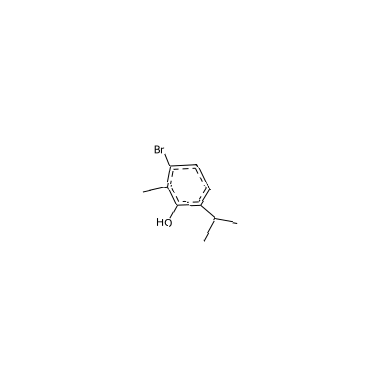 Cc1c(Br)ccc(C(C)C)c1O